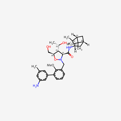 COc1c(CN2O[C@@H](CO)[C@H]([C@H](C)O)[C@H]2C(=O)N[C@H]2C[C@H]3C[C@@H]([C@@H]2C)C3(C)C)cccc1-c1cc(C)cc(N)c1